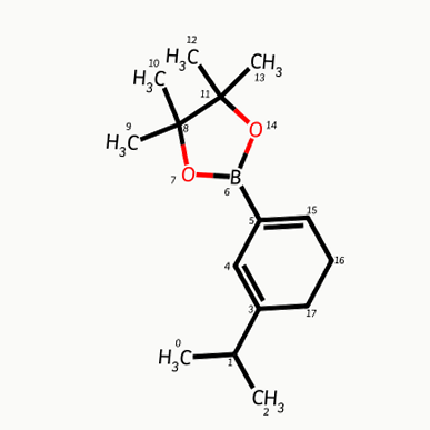 CC(C)C1=CC(B2OC(C)(C)C(C)(C)O2)=CCC1